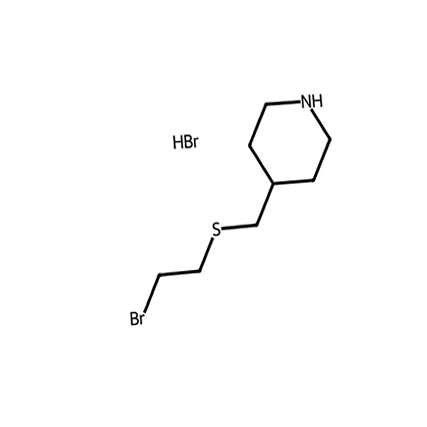 Br.BrCCSCC1CCNCC1